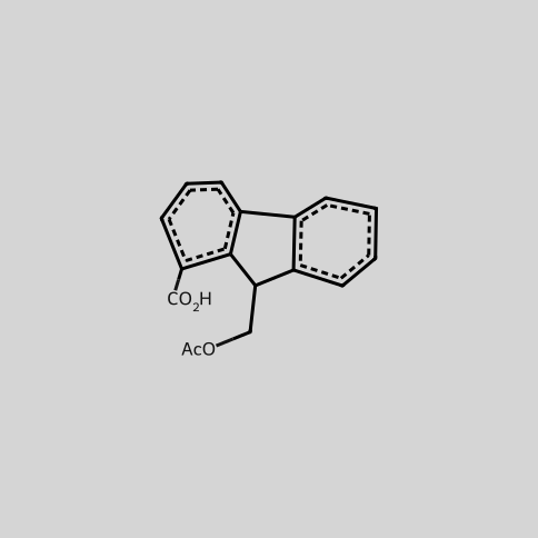 CC(=O)OCC1c2ccccc2-c2cccc(C(=O)O)c21